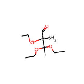 CCOC([SiH3])(C=O)C(C)(OCC)OCC